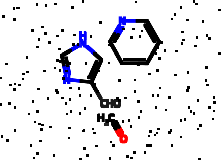 C=O.O=Cc1c[nH]cn1.c1ccncc1